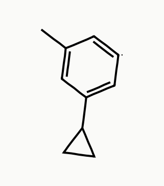 Cc1c[c]cc(C2CC2)c1